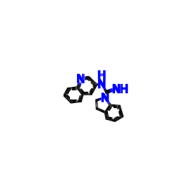 N=C(Nc1cnc2ccccc2c1)N1CCc2ccccc21